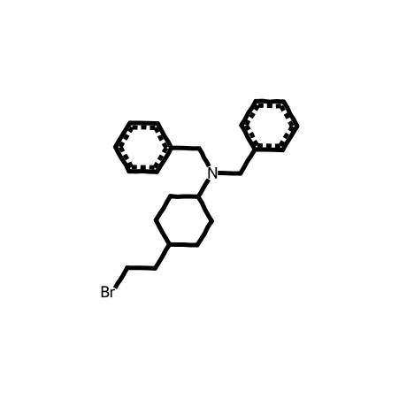 BrCCC1CCC(N(Cc2ccccc2)Cc2ccccc2)CC1